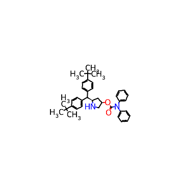 CC(C)(C)c1ccc(C(c2ccc(C(C)(C)C)cc2)[C@H]2C[C@@H](OC(=O)N(c3ccccc3)c3ccccc3)CN2)cc1